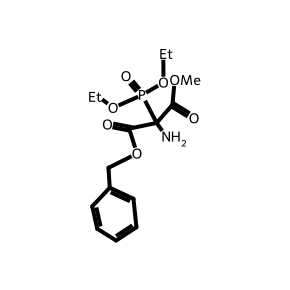 CCOP(=O)(OCC)C(N)(C(=O)OC)C(=O)OCc1ccccc1